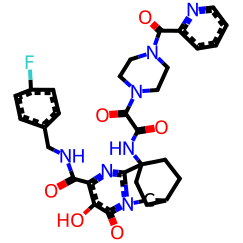 O=C(NC12CCC(CC1)Cn1c2nc(C(=O)NCc2ccc(F)cc2)c(O)c1=O)C(=O)N1CCN(C(=O)c2ccccn2)CC1